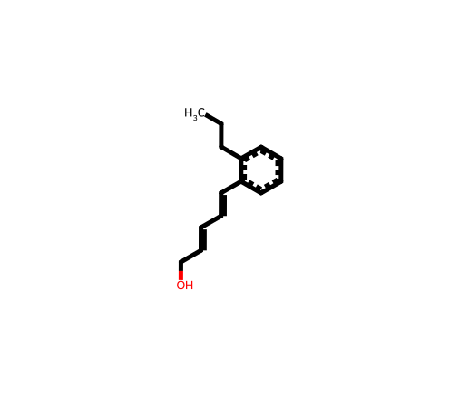 CCCc1ccccc1C=CC=CCO